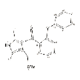 COCc1c(C)[nH]c(C)c1C(=O)c1ccccc1Cc1ccccc1